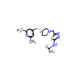 CC(=O)Nc1nnc(CN2CC[C@H](Cc3cc(C)nc(C)c3)C2)s1